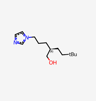 CC(C)(C)CC[C@@H](CO)CCCn1ccnc1